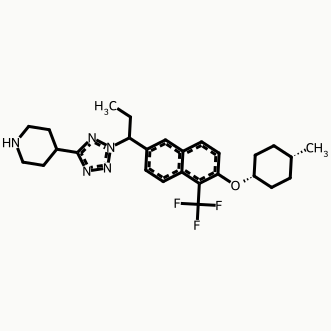 CCC(c1ccc2c(C(F)(F)F)c(O[C@H]3CC[C@@H](C)CC3)ccc2c1)n1nnc(C2CCNCC2)n1